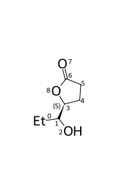 CCC(O)[C@@H]1CCC(=O)O1